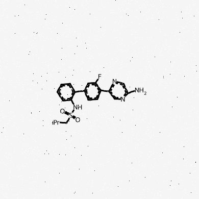 CC(C)CS(=O)(=O)Nc1ccccc1-c1ccc(-c2cnc(N)cn2)c(F)c1